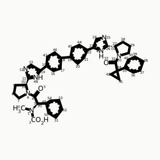 CN(C(=O)O)[C@@H](C(=O)N1CCC[C@H]1c1ncc(-c2ccc(-c3ccc(-c4cnc([C@@H]5CCCN5C(=O)C5(c6ccccc6)CC5)[nH]4)cc3)cc2)[nH]1)c1ccccc1